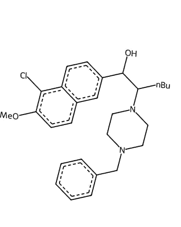 CCCCC(C(O)c1ccc2c(Cl)c(OC)ccc2c1)N1CCN(Cc2ccccc2)CC1